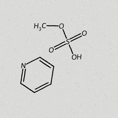 COS(=O)(=O)O.c1ccncc1